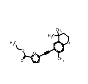 CCOC(=O)c1ccc(C#Cc2cc3c(cc2C)OCCC3(C)C)o1